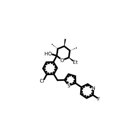 CC[C@H]1OC(O)(c2ccc(Cl)c(Cc3ccc(-c4ccc(F)nc4)s3)c2)[C@H](C)[C@@H](C)[C@@H]1C